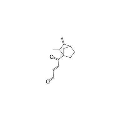 C=C1C2CCC(C(=O)C=CC=O)(C2)C1C